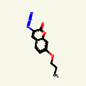 CCCOc1ccc2cc(N=[N+]=[N-])c(=O)oc2c1